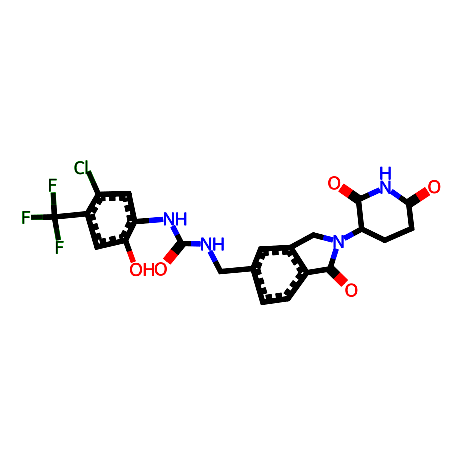 O=C1CCC(N2Cc3cc(CNC(=O)Nc4cc(Cl)c(C(F)(F)F)cc4O)ccc3C2=O)C(=O)N1